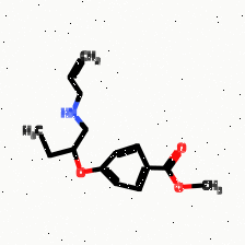 C=CCNCC(CC)Oc1ccc(C(=O)OC)cc1